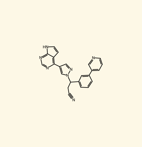 N#CCC(c1cccc(-c2cccnc2)c1)n1cc(-c2ncnc3[nH]ccc23)cn1